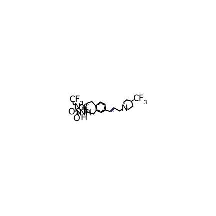 O=S1(=O)N[C@]2(CN1CC(F)(F)F)C1CC[C@@H]2Cc2cc(/C=C/CN3CCC(C(F)(F)F)CC3)ccc2C1